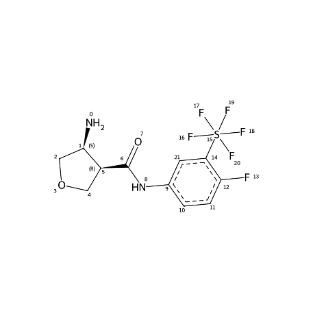 N[C@@H]1COC[C@@H]1C(=O)Nc1ccc(F)c(S(F)(F)(F)(F)F)c1